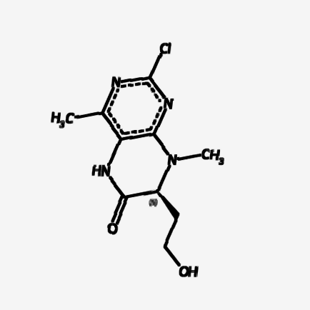 Cc1nc(Cl)nc2c1NC(=O)[C@H](CCO)N2C